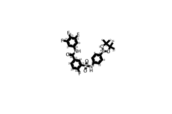 CC1(C)OB(c2ccc(NS(=O)(=O)c3cc(C(=O)Nc4cc(F)c(F)c(F)c4)ccc3F)cc2)OC1(C)C